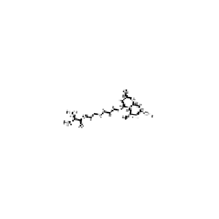 C=C(C)C(=O)OCCCCCCSc1cc(=O)oc2cc(C)cc(F)c12